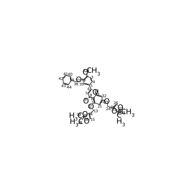 COc1ccc(-c2cc(=O)c3c(OCC4=COC(C)(C)O4)cc(OCC4=COC(C)(C)O4)cc3o2)cc1OCc1ccccc1